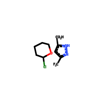 ClC1CCCCO1.O=C(O)c1cc(C(F)(F)F)n[nH]1